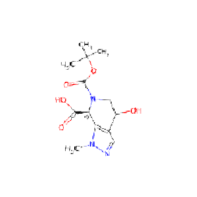 Cn1ncc2c1[C@@H](C(=O)O)N(C(=O)OC(C)(C)C)CC2O